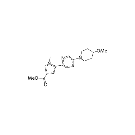 COC(=O)c1cc(-c2ccc(N3CCC(OC)CC3)cn2)n(C)c1